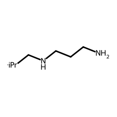 C[C](C)CNCCCN